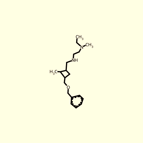 CCN(C)CCNCC1CC(COCc2ccccc2)C1C